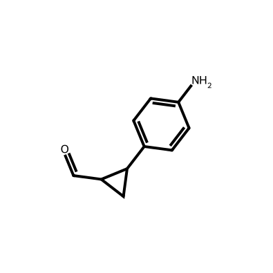 Nc1ccc(C2CC2C=O)cc1